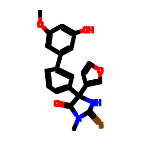 COc1cc(O)cc(-c2cccc(C3(c4ccoc4)NC(=S)N(C)C3=O)c2)c1